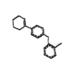 Cc1ccccc1Cc1ccc(C2=CCCCC2)cc1